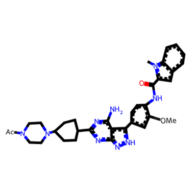 COc1cc(-c2[nH]nc3nc(C4CCC(N5CCN(C(C)=O)CC5)CC4)nc(N)c23)ccc1NC(=O)c1cc2ccccc2n1C